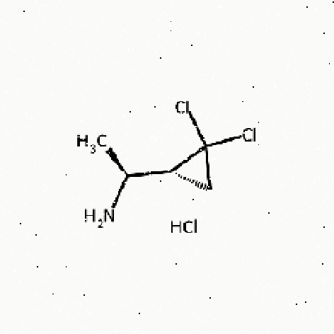 C[C@H](N)[C@H]1CC1(Cl)Cl.Cl